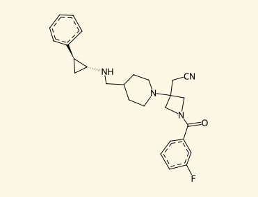 N#CCC1(N2CCC(CN[C@@H]3C[C@H]3c3ccccc3)CC2)CN(C(=O)c2cccc(F)c2)C1